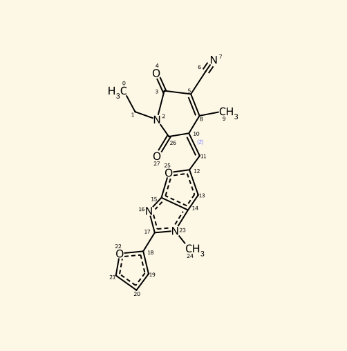 CCN1C(=O)C(C#N)=C(C)/C(=C/c2cc3c(nc(-c4ccco4)n3C)o2)C1=O